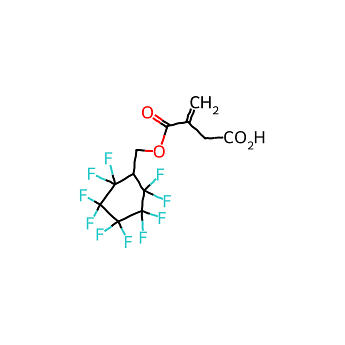 C=C(CC(=O)O)C(=O)OCC1C(F)(F)C(F)(F)C(F)(F)C(F)(F)C1(F)F